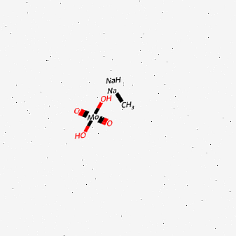 [CH3][Na].[NaH].[O]=[Mo](=[O])([OH])[OH]